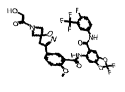 COc1ccc(C2=NOC3(C2)CN(C(=O)CO)C3)cc1C(=O)Nc1cc2c(cc1C(=O)Nc1ccc(F)c(C(F)(F)F)c1)OC(F)(F)O2